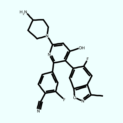 Cc1noc2cc(-c3c(O)cc(N4CCC(N)CC4)nc3-c3ccc(C#N)c(F)c3)c(F)cc12